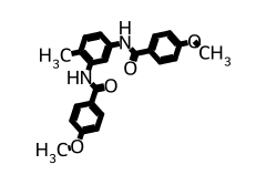 COc1ccc(C(=O)Nc2ccc(C)c(NC(=O)c3ccc(OC)cc3)c2)cc1